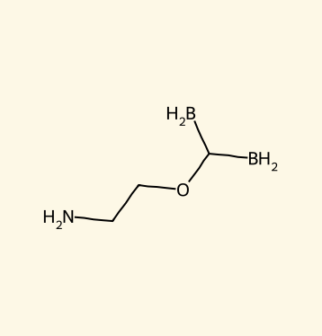 BC(B)OCCN